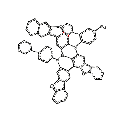 CC(C)(C)c1ccc(N2c3cc4oc5cc6ccccc6cc5c4cc3B3c4c2cc2c(oc5ccccc52)c4-c2cc4c(cc2N3c2ccc(-c3ccccc3)cc2)oc2ccccc24)c(-c2ccccc2)c1